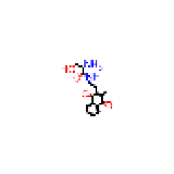 CC1=C(CCNC(=O)[C@@H](N)[C@@H](C)O)C(=O)c2ccccc2C1=O